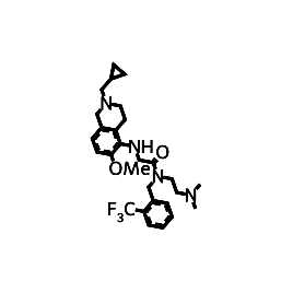 COc1ccc2c(c1NCC(=O)N(CCN(C)C)Cc1ccccc1C(F)(F)F)CCN(CC1CC1)C2